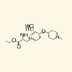 CCOC(=O)[C@@H](N)Cc1ccc(OC2CCN(C)CC2)cc1.Cl.Cl